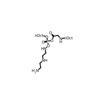 CCCCCCCCNCC(=O)OP(=O)(OCCCCCCCC)ONCCNCCN